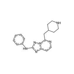 c1ccc(Nc2nc3ccnc(CC4CCNCC4)n3n2)cc1